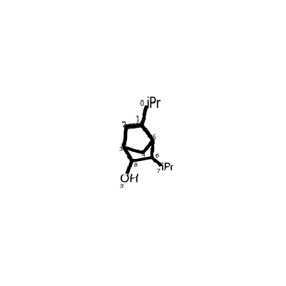 CC(C)C1CC2CC1C(C(C)C)C2O